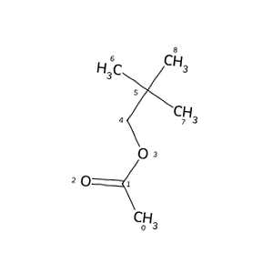 CC(=O)OCC(C)(C)C